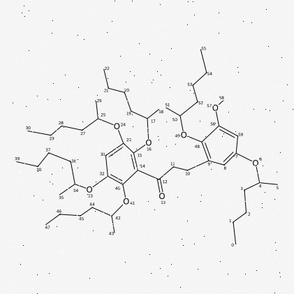 CCCCC(C)Oc1cc(CCC(=O)c2c(OC(C)CCCC)c(OC(C)CCCC)cc(OC(C)CCCC)c2OC(C)CCCC)c(OC(C)CCCC)c(OC)c1